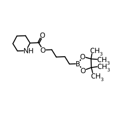 CC1(C)OB(CCCCOC(=O)C2CCCCN2)OC1(C)C